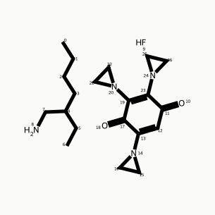 CCCCC(CC)CN.F.O=C1C=C(N2CC2)C(=O)C(N2CC2)=C1N1CC1